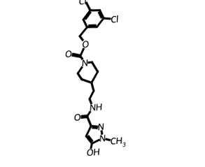 Cn1nc(C(=O)NCCC2CCN(C(=O)OCc3cc(Cl)cc(Cl)c3)CC2)cc1O